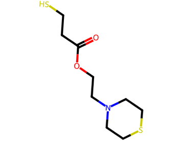 O=C(CCS)OCCN1CCSCC1